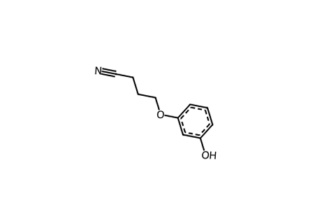 N#CCCCOc1cccc(O)c1